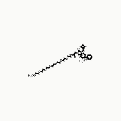 CN[C@]1(c2ccccc2)CC[C@@]2(CC1)CN(CC(=O)NCCOCCOCCOCCOCCOCCOCCOC)C(=O)N2CC1CCC1